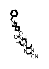 Cc1nc(C#N)cnc1N1C[C@@H](C)N(C(=O)OC2CC3(C2)CN(Cc2ccccc2)C3)[C@@H](C)C1